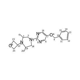 CC1CN(c2ncc(OCc3ccccc3)cn2)CC(C)N1C1COC1